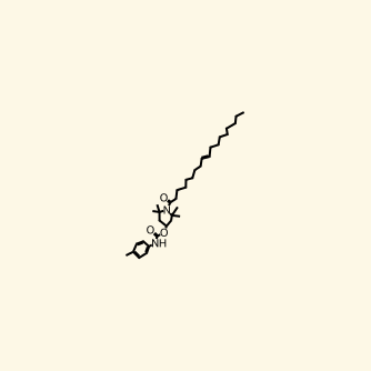 CCCCCCCCC=CCCCCCCCC(=O)N1C(C)(C)CC(OC(=O)Nc2ccc(C)cc2)CC1(C)C